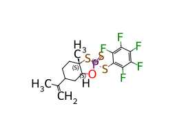 C=C(C)C1CC[C@]2(C)S[P@](=S)(Sc3c(F)c(F)c(F)c(F)c3F)O[C@H]2C1